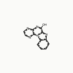 Oc1nc2nccnc2n2c1nc1ccccc12